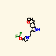 COc1ccc2[nH]cc(CCN3CC[C@H](OC(F)F)C3)c2c1